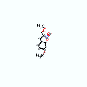 COCC(=Cc1ccc(OC)cc1)[N+](=O)[O-]